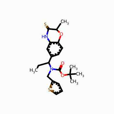 CCC(c1ccc2c(c1)NC(=S)C(C)O2)N(Cc1cccs1)C(=O)OC(C)(C)C